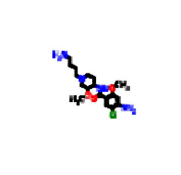 COc1cc(N)c(Cl)cc1C(=O)NC1CCN(CCCCN)CC1OC